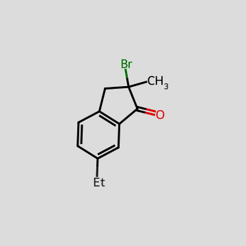 CCc1ccc2c(c1)C(=O)C(C)(Br)C2